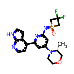 C[C@@H]1COCCN1c1cc(N=S2(=O)CC(F)(F)C2)nc(-c2ccnc3[nH]ccc23)c1